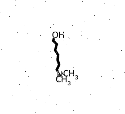 CN(C)CCCCCCCO